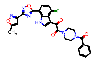 Cc1cc(-c2noc(-c3ccc(F)c4c(C(=O)C(=O)N5CCN(C(=O)c6ccccc6)CC5)c[nH]c34)n2)no1